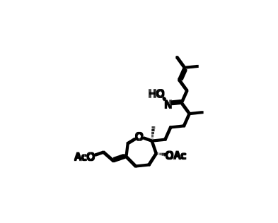 CC(=O)OCC=C1CC[C@@H](OC(C)=O)[C@](C)(CCCC(C)C(CC=C(C)C)=NO)OC1